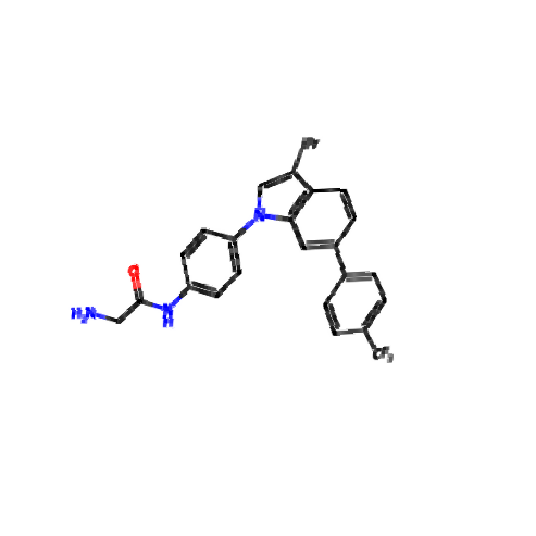 CC(C)c1cn(-c2ccc(NC(=O)CN)cc2)c2cc(-c3ccc(C(F)(F)F)cc3)ccc12